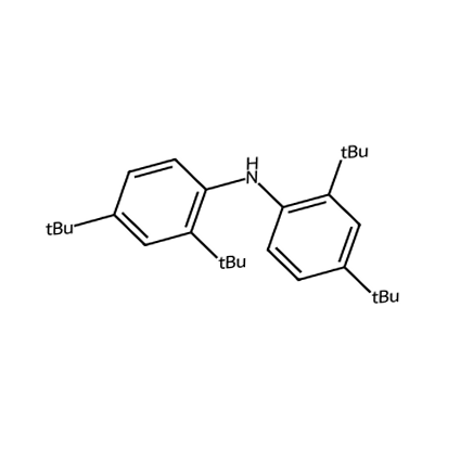 CC(C)(C)c1ccc(Nc2ccc(C(C)(C)C)cc2C(C)(C)C)c(C(C)(C)C)c1